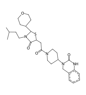 CC(C)CCN1C(=O)C(CC(=O)N2CCC(N3Cc4ccccc4NC3=O)CC2)SC1C1CCOCC1